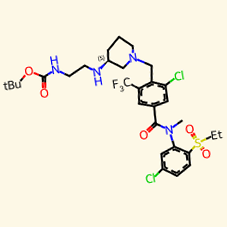 CCS(=O)(=O)c1ccc(Cl)cc1N(C)C(=O)c1cc(Cl)c(CN2CCC[C@H](NCCNC(=O)OC(C)(C)C)C2)c(C(F)(F)F)c1